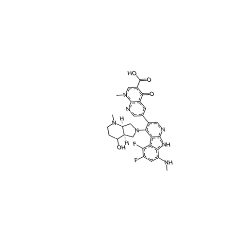 CNc1cc(F)c(F)c2c1[nH]c1ncc(-c3cnc4c(c3)c(=O)c(C(=O)O)cn4C)c(N3C[C@H]4C(O)CCN(C)[C@H]4C3)c12